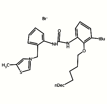 CCCCCCCCCCCCCCOc1c(NC(=O)Nc2ccccc2C[n+]2csc(C)c2)cccc1C(C)(C)C.[Br-]